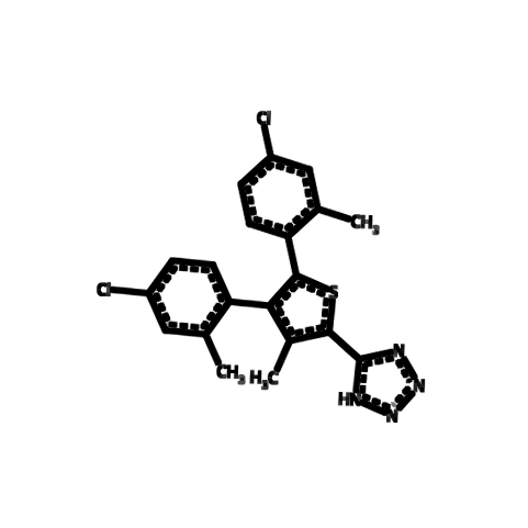 Cc1cc(Cl)ccc1-c1sc(-c2nnn[nH]2)c(C)c1-c1ccc(Cl)cc1C